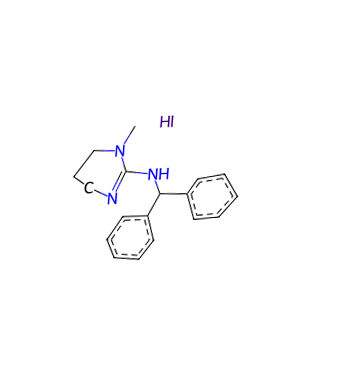 CN1CCCN=C1NC(c1ccccc1)c1ccccc1.I